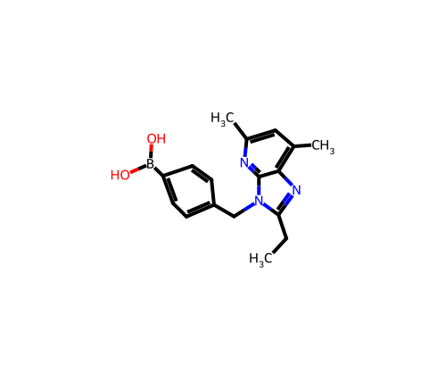 CCc1nc2c(C)cc(C)nc2n1Cc1ccc(B(O)O)cc1